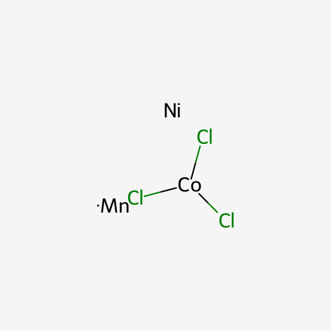 [Cl][Co]([Cl])[Cl].[Mn].[Ni]